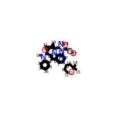 CN(C(=O)c1cc2cc([C@H]3CCOC(C)(C)C3)ccc2n1C1(C2=NOC(=C=O)N2)CC12CC2)c1ccccc1